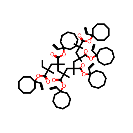 C=CC1(OC(=O)C(C)(C)CC(C)(CC(C)(CC(C)(CC(C)(CC(C)(CC)C(=O)OC2(C=C)CCCCCCC2)C(=O)OC2(C=C)CCCCCCC2)C(=O)OC2(C=C)CCCCCCC2)C(=O)OC2(C=C)CCCCCCC2)C(=O)OC2(C=C)CCCCCCC2)CCCCCCC1